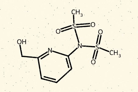 CS(=O)(=O)N(c1cccc(CO)n1)S(C)(=O)=O